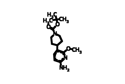 COc1nc(N)ccc1C1CCN(C(=O)OC(C)(C)C)CC1